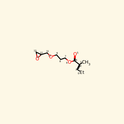 CCC=C(C)C(=O)OCCCOCC1CO1